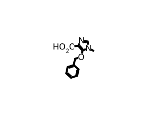 Cn1cnc(C(=O)O)c1OCc1ccccc1